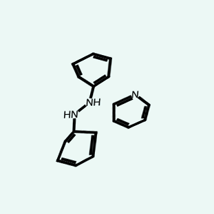 c1ccc(NNc2ccccc2)cc1.c1ccncc1